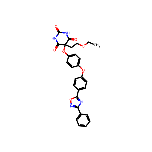 CCOCCC1(Oc2ccc(Oc3ccc(-c4nc(-c5ccccc5)no4)cc3)cc2)C(=O)NC(=O)NC1=O